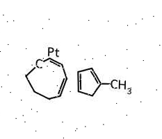 C1=CCCCCC=C1.CC1=CC=CC1.[Pt]